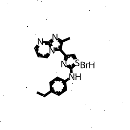 Br.CCc1ccc(Nc2nc(-c3c(C)nc4ncccn34)cs2)cc1